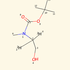 [2H]C([2H])(CO)N(C)C(=O)OC(C)(C)C